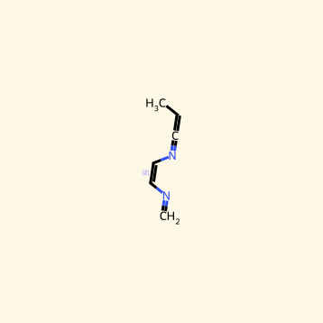 C=N/C=C\N=C=CC